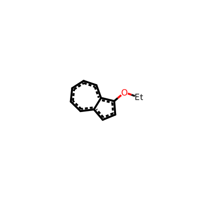 [CH2]COc1ccc2cccccc1-2